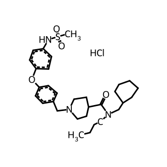 CCCCN(CC1CCCCC1)C(=O)C1CCN(Cc2ccc(Oc3ccc(NS(C)(=O)=O)cc3)cc2)CC1.Cl